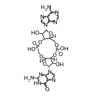 Nc1nc2c(ncn2[C@@H]2O[C@@H]3OCP(=O)(O)OC4C(O)[C@H](n5cnc6c(N)ncnc65)O[C@@H]4COP(=O)(O)O[C@@H]3C2O)c(=O)[nH]1